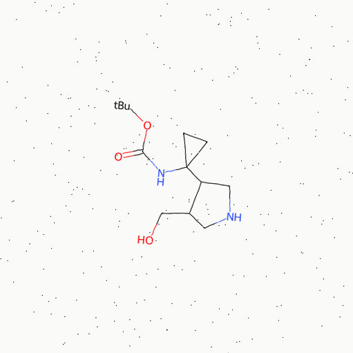 CC(C)(C)OC(=O)NC1(C2CNCC2CO)CC1